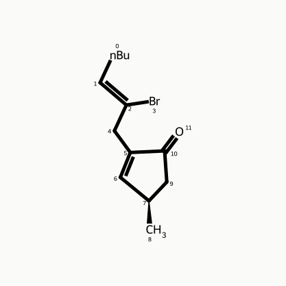 CCCC/C=C(\Br)CC1=C[C@H](C)CC1=O